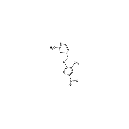 CC1=NC=CN(COc2ccc([N+](=O)[O-])cc2C)C1